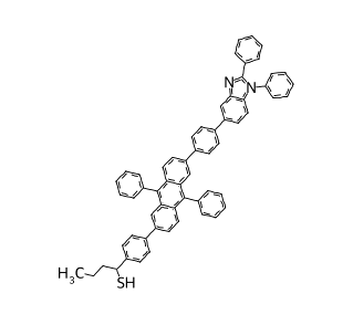 CCCC(S)c1ccc(-c2ccc3c(-c4ccccc4)c4cc(-c5ccc(-c6ccc7c(c6)nc(-c6ccccc6)n7-c6ccccc6)cc5)ccc4c(-c4ccccc4)c3c2)cc1